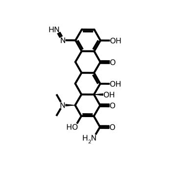 CN(C)[C@@H]1C(O)=C(C(N)=O)C(=O)[C@@]2(O)C(O)=C3C(=O)c4c(O)ccc(N=N)c4CC3CC12